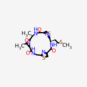 CSCC[C@H]1NC(=O)c2csc(n2)CNC(=O)c2nc(oc2C)[C@H](C)NC(=O)c2csc1n2